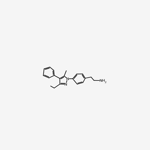 CCc1nn(-c2ccc(CCN)cc2)c(C)c1-c1ccccc1